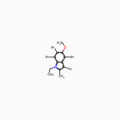 CC(=O)OCn1c(C)c(C(C)=O)c2c(C(C)C)c(O[SiH3])c(C(C)C)c(C(C)C)c21